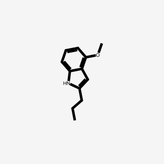 CCCc1cc2c(OC)cccc2[nH]1